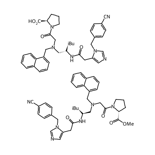 CC[C@H](C)[C@@H](CN(CC(=O)N1CCC[C@@H]1C(=O)O)Cc1cccc2ccccc12)NC(=O)Cc1cncn1Cc1ccc(C#N)cc1.CC[C@H](C)[C@@H](CN(CC(=O)N1CCC[C@@H]1C(=O)OC)Cc1cccc2ccccc12)NC(=O)Cc1cncn1Cc1ccc(C#N)cc1